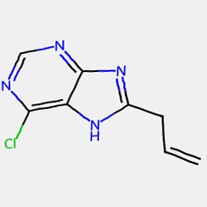 C=CCc1nc2ncnc(Cl)c2[nH]1